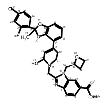 COC(=O)c1ccc2nc(CN3CCC(c4cccc5c4OC(C)(c4ccc(Cl)cc4F)O5)=CC3O)n(C[C@@H]3CCO3)c2c1